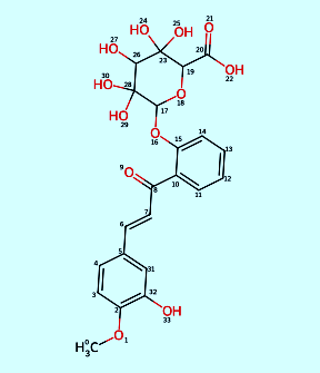 COc1ccc(C=CC(=O)c2ccccc2OC2OC(C(=O)O)C(O)(O)C(O)C2(O)O)cc1O